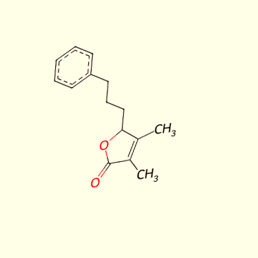 CC1=C(C)C(CCCc2ccccc2)OC1=O